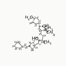 CC1CCC(C(O)CC(CCC(C)[C@@H](O)CC2CCC(CCC3CCCCC3)CC2)C(C)C)CC1